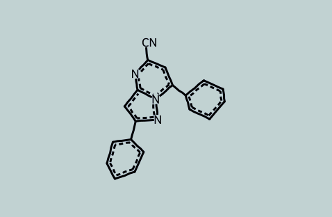 N#Cc1cc(-c2ccccc2)n2nc(-c3ccccc3)cc2n1